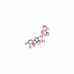 CC(C)OC(=O)[C@@H](C)N[PH](=O)OC[C@H]1O[C@@H](n2ccc(=O)[nH]c2=O)[C@](Cl)(Br)[C@@H]1O